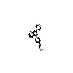 OCCC1CCN(c2nc(N3CCOCC3)cc3ncccc23)CC1